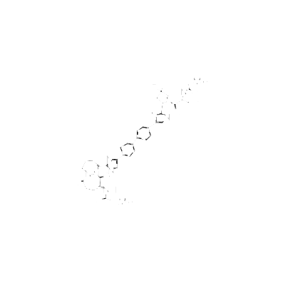 COC(=O)NC(C(=O)N1CC(F)(F)CC1c1ncc(-c2ccc(-c3ccc(-c4cnc([C@@H]5CCCN6C(=O)CC[C@H](NC(=O)OC)C(=O)N56)[nH]4)cc3)cc2)[nH]1)C(C)C